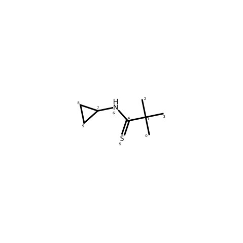 CC(C)(C)C(=S)NC1CC1